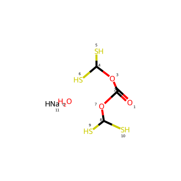 O.O=C(OC(S)S)OC(S)S.[NaH]